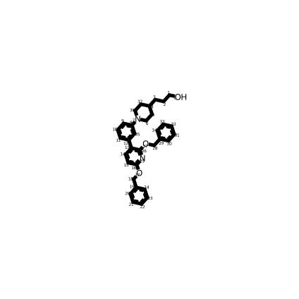 OCCCC1CCN(c2cccc(-c3ccc(OCc4ccccc4)nc3OCc3ccccc3)c2)CC1